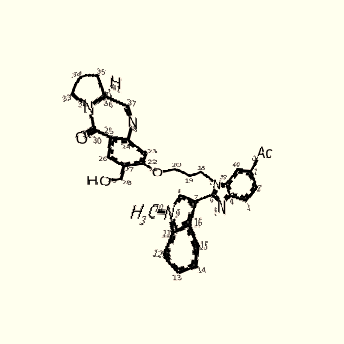 CC(=O)c1ccc2nc(-c3cn(C)c4ccccc34)n(CCCOc3cc4c(cc3CO)C(=O)N3CCC[C@H]3C=N4)c2c1